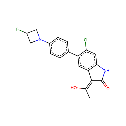 C/C(O)=C1\C(=O)Nc2cc(Cl)c(-c3ccc(N4CC(F)C4)cc3)cc21